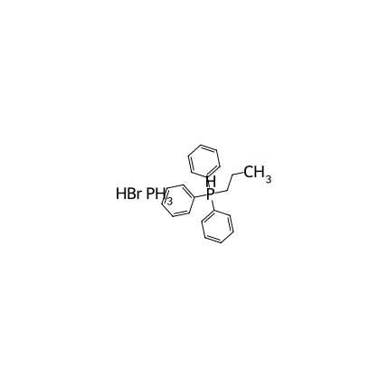 Br.CCC[PH](c1ccccc1)(c1ccccc1)c1ccccc1.P